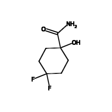 NC(=O)C1(O)CCC(F)(F)CC1